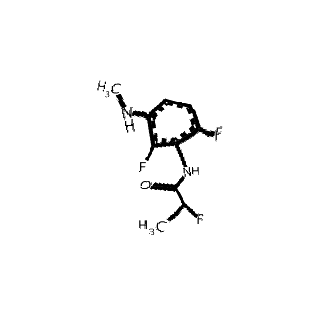 CNc1ccc(F)c(NC(=O)C(C)F)c1F